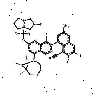 [2H]c1cc2cc(N)cc(-c3ncc4c(N5CCOC[C@H]6[C@H](F)[C@H]65)nc(OC([2H])([2H])[C@@]56CCCN5C[C@H](F)C6)nc4c3F)c2c(C#C)c1F